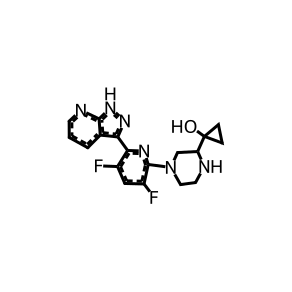 OC1(C2CN(c3nc(-c4n[nH]c5ncccc45)c(F)cc3F)CCN2)CC1